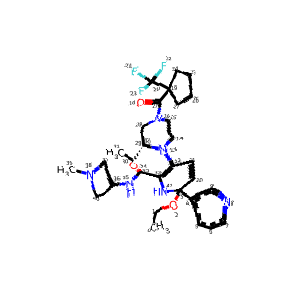 CCOC1(c2cccnc2)C=CC(N2CCN(C(=O)C3(C(F)(F)F)CCCC3)C[C@H]2CC)=C(C(=O)NC2CN(C)C2)N1